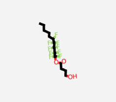 CCCCCC(F)C(F)(F)C(F)(F)C(F)(F)C(F)(F)OC(=O)CCCO